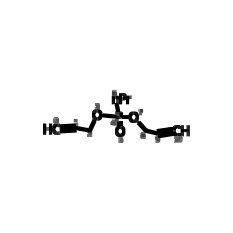 C#CCOP(=O)(CCC)OCC#C